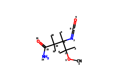 CC(C)(OC#N)C(C)(N=C=O)C(C)(C)C(N)=O